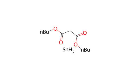 CCCCOC(=O)CC(=O)OCCCC.[SnH2]